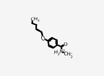 [CH2-][NH2+]C(=O)c1ccc(OCCCCC)cc1